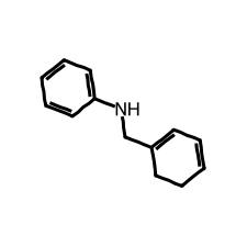 C1=CCCC(CNc2ccccc2)=C1